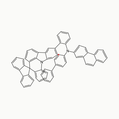 c1ccc(-c2ccc(N(c3ccc4c(ccc5ccccc54)c3)c3ccccc3-c3ccc4c(c3)c3cccc5c3n4-c3ccccc3C53c4ccccc4-c4ccccc43)cc2)cc1